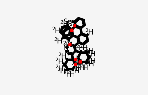 [2H]c1ccc(-c2nnnc(C3([2H])C([2H])C([2H])([2H])C([2H])([2H])C([2H])([2H])C3([2H])[2H])c2C2([2H])C([2H])C([2H])([2H])C([2H])([2H])C([2H])([2H])C2([2H])[2H])c(-c2c([2H])c([2H])c([2H])c([2H])c2[2H])c1-c1cccc2[se]c3ccccc3c12